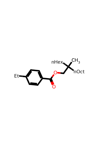 CCCCCCCCC(C)(CCCCCC)COC(=O)c1ccc(CC)cc1